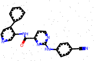 N#Cc1ccc(Nc2nccc(C(=O)Nc3cnccc3-c3ccccc3)n2)cc1